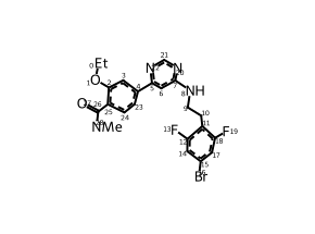 CCOc1cc(-c2cc(NCCc3c(F)cc(Br)cc3F)ncn2)ccc1C(=O)NC